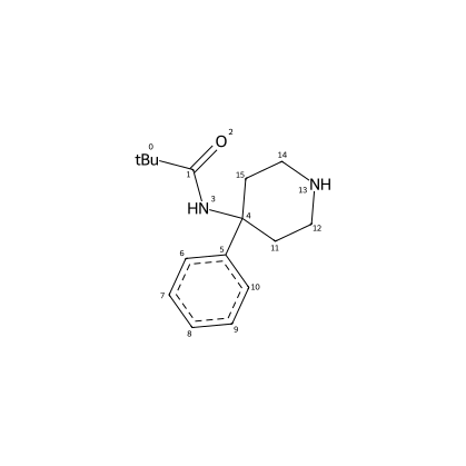 CC(C)(C)C(=O)NC1(c2ccccc2)CCNCC1